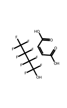 O=C(O)/C=C\C(=O)O.OC(F)(F)C(F)(F)C(F)(F)C(F)(F)F